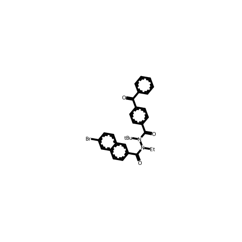 CCN(C(=O)c1ccc2cc(Br)ccc2c1)N(C(=O)c1ccc(C(=O)c2ccccc2)cc1)C(C)(C)C